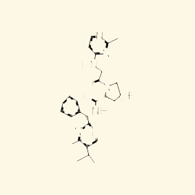 Cc1nccc(NCC(=O)N2C[C@H](F)C[C@H]2C(=O)N[C@@H](c2ccccc2)c2ccc(C(C)C)c(F)n2)n1